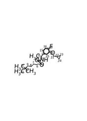 C[C@@H](NS(=O)(=O)CCCCC(C)(C)C)c1ccc(F)c(OCC2CC2)c1